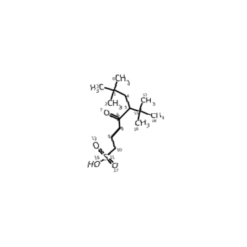 CC(C)(C)CC(C(=O)CCCS(=O)(=O)O)C(C)(C)C